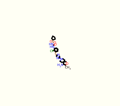 C[C@@H]1OCC2(CCN(c3cnc(Sc4cccc(NC(=O)NS(=O)(=O)C5CCCC5)c4Cl)cn3)CC2)[C@@H]1N